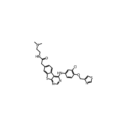 CN(C)CCNC(=O)Cc1ccc2c(c1)sc1ncnc(Nc3ccc(OCc4cscn4)c(Cl)c3)c12